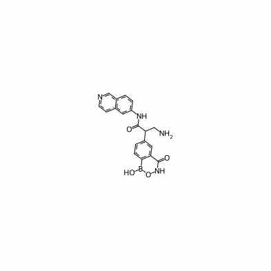 NCC(C(=O)Nc1ccc2cnccc2c1)c1ccc2c(c1)C(=O)NOB2O